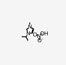 CC(C)N1C=CN(C)C1.O=[N+]([O-])O